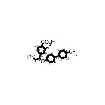 CC(C)CC(Oc1ccc(-c2ccc(C(F)(F)F)cc2)cc1)c1ccc(C(=O)O)cn1